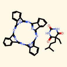 CCC1(CCC(C)C)C(=O)NC(=O)NC1=O.c1ccc2c(c1)-c1nc-2nc2[nH]c(nc3nc(nc4[nH]c(n1)c1ccccc41)-c1ccccc1-3)c1ccccc21